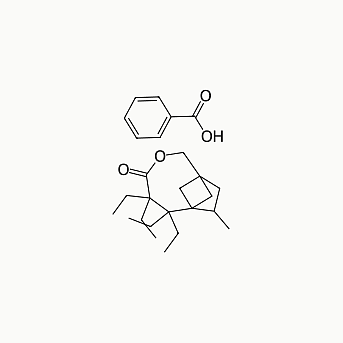 CCC1(CC)C(=O)OCC23CC(C)C(C2)(C3)C1(CC)CC.O=C(O)c1ccccc1